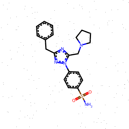 NS(=O)(=O)c1ccc(-n2nc(Cc3ccccc3)nc2CN2CCCC2)cc1